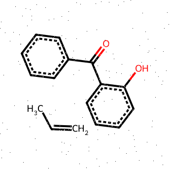 C=CC.O=C(c1ccccc1)c1ccccc1O